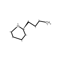 CCCC[C@H]1CCCCO1